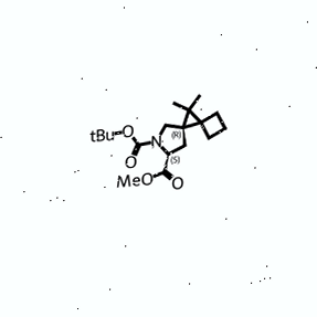 COC(=O)[C@@H]1C[C@@]2(CN1C(=O)OC(C)(C)C)C(C)(C)C21CCC1